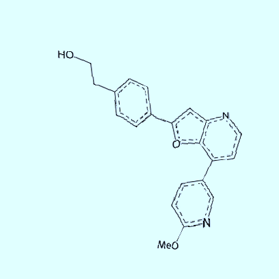 COc1ccc(-c2ccnc3cc(-c4ccc(CCO)cc4)oc23)cn1